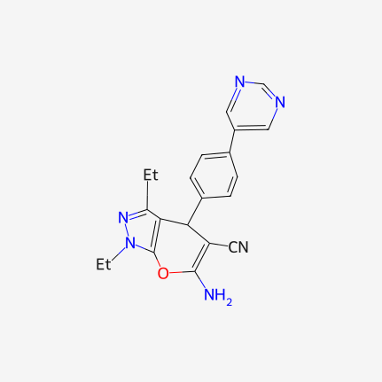 CCc1nn(CC)c2c1C(c1ccc(-c3cncnc3)cc1)C(C#N)=C(N)O2